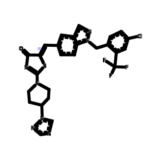 O=C1N=C(N2CCC(n3cncn3)CC2)S/C1=C\c1ccc2c(cnn2Cc2ccc(Cl)cc2C(F)(F)F)c1